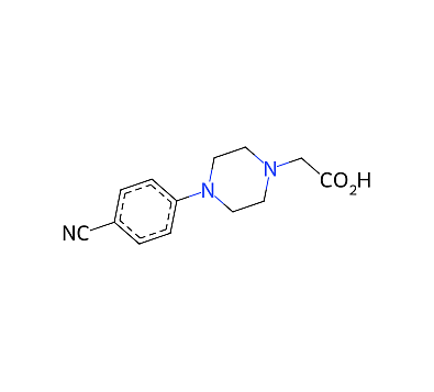 N#Cc1ccc(N2CCN(CC(=O)O)CC2)cc1